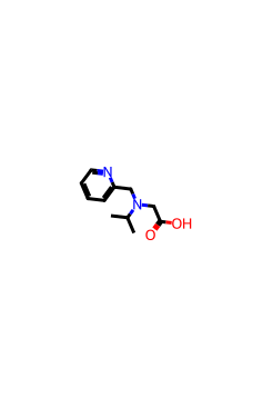 CC(C)N(CC(=O)O)Cc1ccccn1